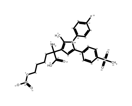 Cc1c(C(N)(CCCCO[N+](=O)[O-])C(=O)O)cc(-c2ccc(S(C)(=O)=O)cc2)n1-c1ccc(F)cc1